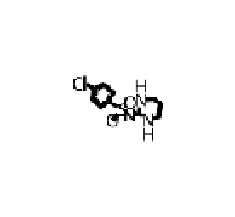 O=S(=O)(N=C1NC=CCN1)c1ccc(Cl)cc1